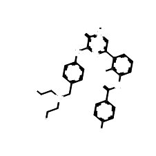 C=C(Nc1cccc(-c2cn(C)c(=O)c(Nc3ccc(CN(CCO)CCO)cc3)n2)c1C)c1ccc(C(C)(C)C)cc1